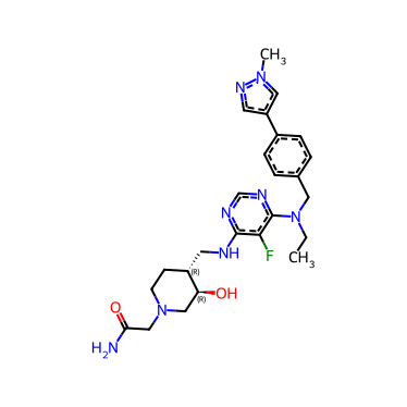 CCN(Cc1ccc(-c2cnn(C)c2)cc1)c1ncnc(NC[C@H]2CCN(CC(N)=O)C[C@@H]2O)c1F